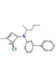 CCCC(C)N(c1cccc(-c2ccccc2)c1)C1C=C(C)[C@@H]1Cl